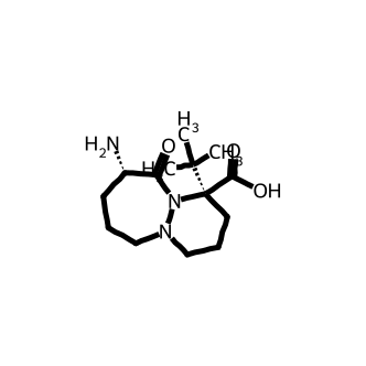 CC(C)(C)[C@]1(C(=O)O)CCCN2CCC[C@H](N)C(=O)N21